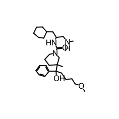 CNCC(CC1CCCCC1)NC(=O)N1CCCC(C)(C(O)(CCCCOC)c2ccccc2)C1